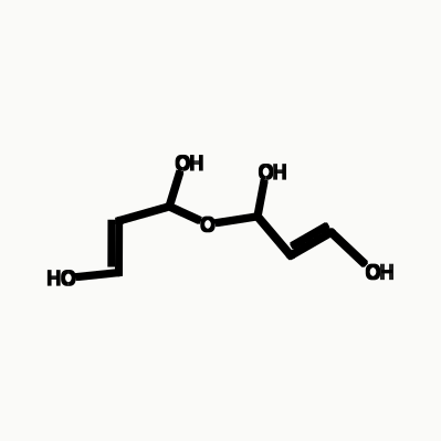 OC=CC(O)OC(O)C=CO